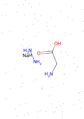 NCC(=O)O.NN.[NaH]